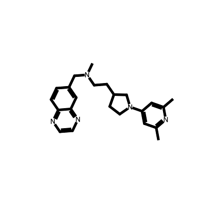 Cc1cc(N2CCC(CCN(C)Cc3ccc4nccnc4c3)C2)cc(C)n1